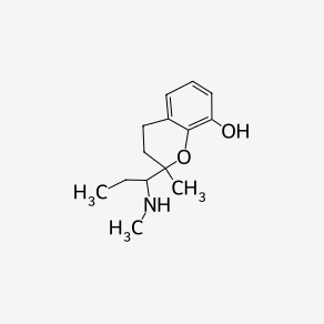 CCC(NC)C1(C)CCc2cccc(O)c2O1